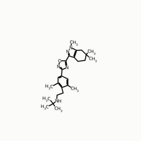 Cc1cc(-c2noc(-c3nn(C)c4c3CCC(C)(C)C4)n2)cc(C)c1CCNC(C)(C)C